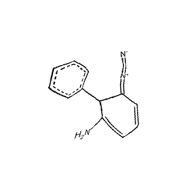 [N-]=[N+]=C1C=CC=C(N)C1c1ccccc1